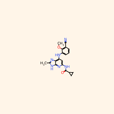 COc1c(C#N)cccc1Nc1cc(NC(=O)C2CC2)nc2[nH]c(C)nc12